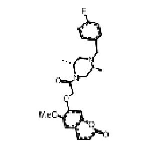 COc1cc2ccc(=O)oc2cc1OCC(=O)N1C[C@H](C)N(Cc2ccc(F)cc2)C[C@H]1C